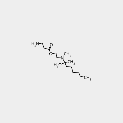 CCCCCCC(C)(C)N(C)CCOC(=O)CCN